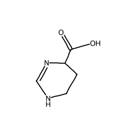 O=C(O)C1CCNC=N1